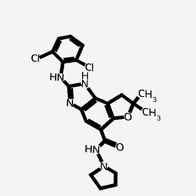 CC1(C)Cc2c(c(C(=O)NN3CCCC3)cc3nc(Nc4c(Cl)cccc4Cl)[nH]c23)O1